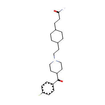 NC(=O)CCC1CCC(CCN2CCC(C(=O)c3ccc(F)cc3)CC2)CC1